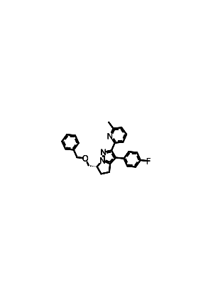 Cc1cccc(-c2nn3c(c2-c2ccc(F)cc2)CC[C@@H]3COCc2ccccc2)n1